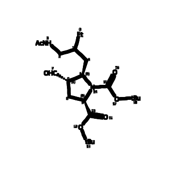 CCC(CNC(C)=O)C[C@@H]1[C@@H](C=O)C[C@H](C(=O)OC(C)(C)C)N1C(=O)OC(C)(C)C